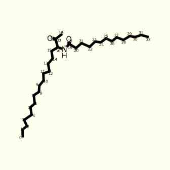 CCCCCCCCCCCCCCCCC(NC(=O)CCCCCCCCCCCCC)C(C)=O